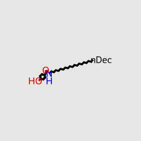 CCCCCCCCCCCCCCCCCCCCCCCCCCCCNC(=O)c1ccc(O)cc1